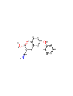 COC(=O)C(C#N)=Cc1cccc(Oc2ccccc2)c1